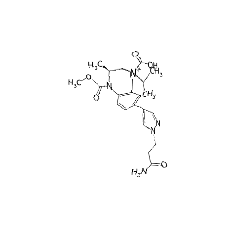 COC(=O)N1c2ccc(-c3cnn(CCC(N)=O)c3)cc2[N+](C(=O)O)(C(C)C)C[C@@H]1C